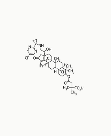 CC(C)C1=C2[C@H]3CC[C@@H]4[C@@]5(C)CC[C@H](OC(=O)CC(C)(C)C(=O)O)C(C)(C)[C@@H]5CC[C@@]4(C)[C@]3(C)CCC2(C(O)CNC2(c3ncc(Cl)cn3)CC2)CC1=O